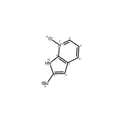 CC(C)(C)c1cc2ccc[n+]([O-])c2[nH]1